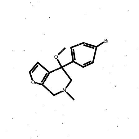 COC1(c2ccc(Br)cc2)CN(C)Cc2occc21